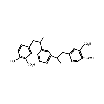 CC(Cc1ccc(C(=O)O)c(C(=O)O)c1)c1cccc(C(C)Cc2ccc(C(=O)O)c(C(=O)O)c2)c1